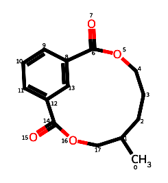 CC1CCCOC(=O)c2cccc(c2)C(=O)OC1